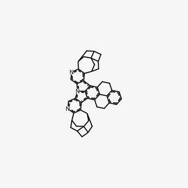 c1cc2c3c(c1)CCc1c-3c(c3c4c5c(ncc4n4c6cnc7c(c6c1c34)C1CC3CC4CC7CC43C1)C1CC3CC4CC5CC34C1)CC2